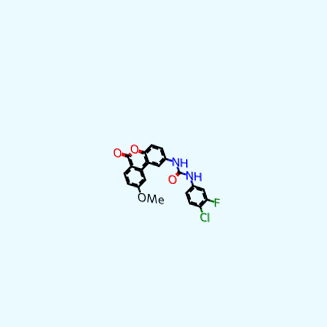 COc1ccc2c(=O)oc3ccc(NC(=O)Nc4ccc(Cl)c(F)c4)cc3c2c1